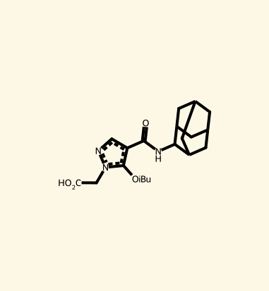 CC(C)COc1c(C(=O)NC2C3CC4CC(C3)CC2C4)cnn1CC(=O)O